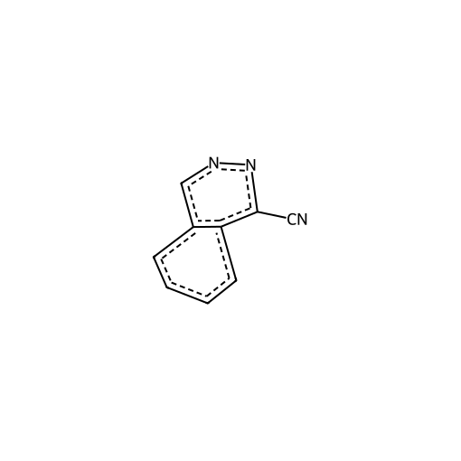 N#Cc1nncc2ccccc12